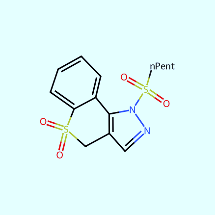 CCCCCS(=O)(=O)n1ncc2c1-c1ccccc1S(=O)(=O)C2